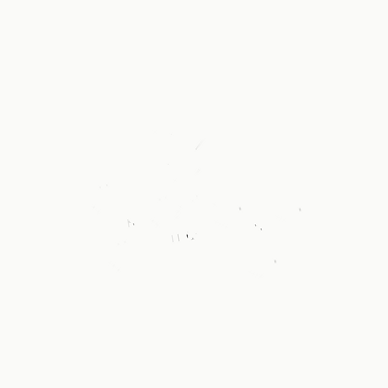 Cc1cc(N(c2ccccc2)c2ccccc2)cc(C)c1B1c2cc3ccc4cccc5ccc(c2-c2cc(N(c6ccccc6)c6ccccc6)cc(C)c21)c3c45